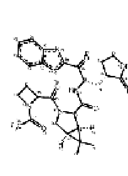 CC1(C)[C@@H]2C(C(=O)N[C@@H](C[C@@H]3CCNC3=O)C(=O)c3nc4ccccc4s3)N(C(=O)[C@@H]3CCN3C(=O)C(F)(F)F)C[C@@H]21